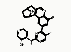 O[C@@H]1COCC[C@H]1Nc1ncc(Cl)c(-c2cc(F)c3ncc4c(c3c2)C2CCC(C4)N2)n1